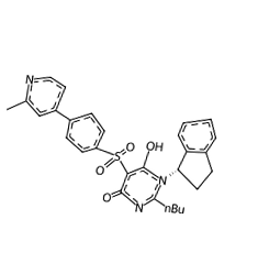 CCCCc1nc(=O)c(S(=O)(=O)c2ccc(-c3ccnc(C)c3)cc2)c(O)n1[C@H]1CCc2ccccc21